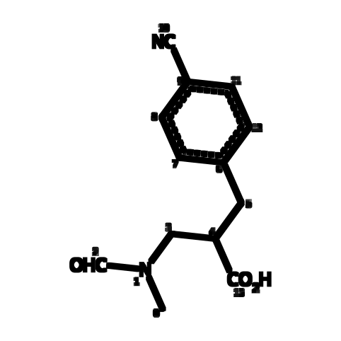 CN(C=O)CC(Cc1ccc(C#N)cc1)C(=O)O